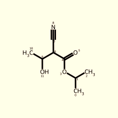 CC(C)OC(=O)C(C#N)C(C)O